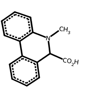 CN1c2ccccc2-c2ccccc2C1C(=O)O